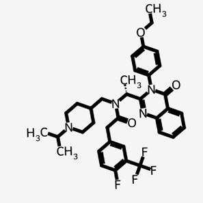 CCOc1ccc(-n2c([C@@H](C)N(CC3CCN(C(C)C)CC3)C(=O)Cc3ccc(F)c(C(F)(F)F)c3)nc3ccccc3c2=O)cc1